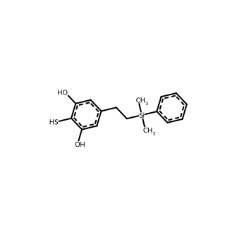 C[Si](C)(CCc1cc(O)c(S)c(O)c1)c1ccccc1